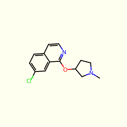 CN1CCC(Oc2nccc3ccc(Cl)cc23)C1